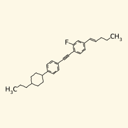 CCCC=Cc1ccc(C#Cc2ccc(C3CCC(CCC)CC3)cc2)c(F)c1